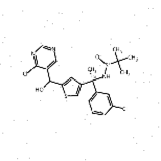 CC(C)(C)[S+]([O-])N[C@@](C)(c1cccc(Cl)c1)c1csc(C(O)c2cncnc2Cl)c1